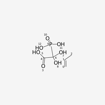 C=CC.O=C(O)C(O)(O)P(=O)(O)O